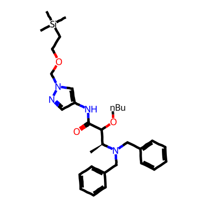 CCCCOC(C(=O)Nc1cnn(COCC[Si](C)(C)C)c1)[C@H](C)N(Cc1ccccc1)Cc1ccccc1